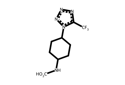 O=C(O)NC1CCC(n2nnnc2C(F)(F)F)CC1